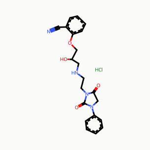 Cl.N#Cc1ccccc1OCC(O)CNCCN1C(=O)CN(c2ccccc2)C1=O